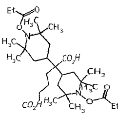 CCC(=O)ON1C(C)(C)CC(C(CCCC(=O)O)(C(=O)O)C2CC(C)(C)N(OC(=O)CC)C(C)(C)C2)CC1(C)C